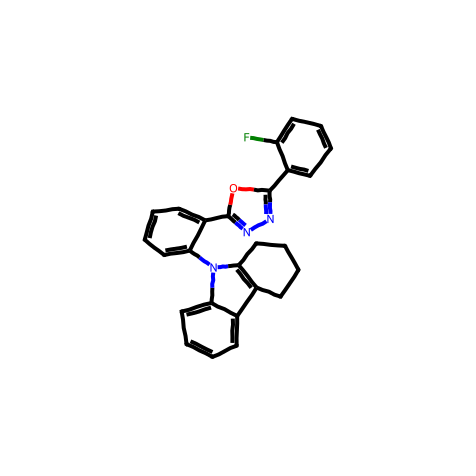 Fc1ccccc1-c1nnc(-c2ccccc2-n2c3c(c4ccccc42)CCCC3)o1